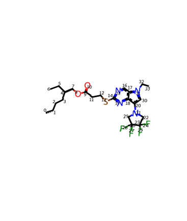 CCCCC(CC)COC(=O)CCSc1ncc2c(n1)c(N1CC(F)(F)C(F)(F)C1)cn2CC